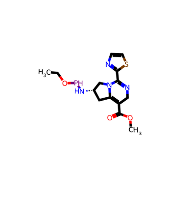 CCOPN[C@H]1CC2=C(C(=O)OC)CN=C(c3nccs3)N2C1